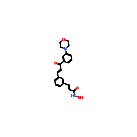 O=C(C=Cc1cccc(C=CC(=O)c2cccc(N3CCOCC3)c2)c1)NO